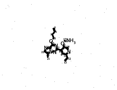 C=CCCOc1nc(-c2cc(C=C)ncc2OC)nn2c(C)cnc12.N